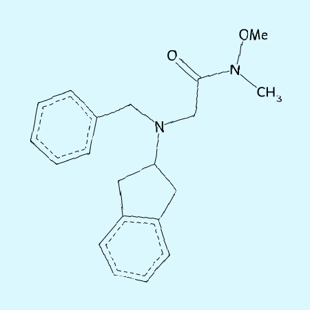 CON(C)C(=O)CN(Cc1ccccc1)C1Cc2ccccc2C1